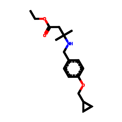 CCOC(=O)CC(C)(C)NCc1ccc(OCC2CC2)cc1